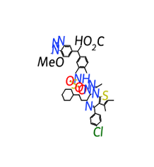 COc1cc(C(CC(=O)O)c2ccc(C)c(CNS(=O)(=O)C3CCCCC3C(=O)CC3N=C(c4ccc(Cl)cc4)c4c(sc(C)c4C)-n4c(C)nnc43)c2)cc2nnn(C)c12